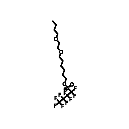 CCCCOCCOCCCCCCOS(=O)(=O)C(F)(F)C(F)(F)C(F)(F)C(F)(F)F